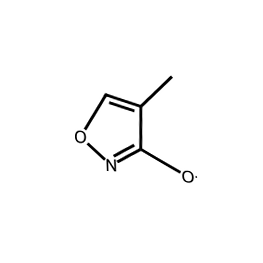 Cc1conc1[O]